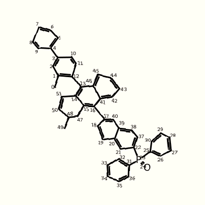 Cc1cc(-c2ccccc2)ccc1-c1c2c(c(-c3ccc4cc(P(=O)(c5ccccc5)c5ccccc5)ccc4c3)c3ccccc13)CC(C)C=C2